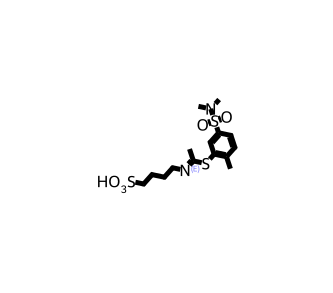 C/C(=N\CCCCS(=O)(=O)O)Sc1cc(S(=O)(=O)N(C)C)ccc1C